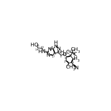 Cc1cc(OCc2n[nH]c3nc(NCCO)ncc23)c(C(C)(C)C)cc1C#N